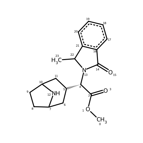 COC(=O)[C@H](C1CC2CCC(C1)N2)N1C(=O)c2ccccc2C1C